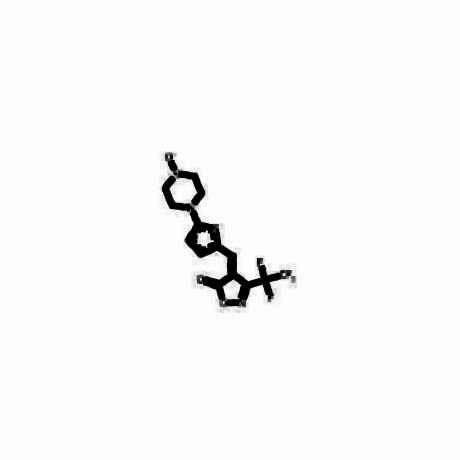 O=C1ON=C(C(F)(F)C(F)(F)F)C1=Cc1ccc(N2CC[S+]([O-])CC2)s1